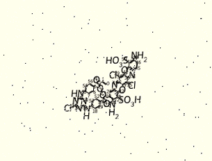 C=CS(=O)(=O)c1ccc(Nc2nc(Cl)nc(Nc3ccc(S(=O)(=O)c4cc5c(c(S(=O)(=O)O)c4N)Oc4c(Cl)c6c(c(Cl)c4=N5)Oc4c(ccc(N)c4S(=O)(=O)O)N=6)cc3)n2)cc1